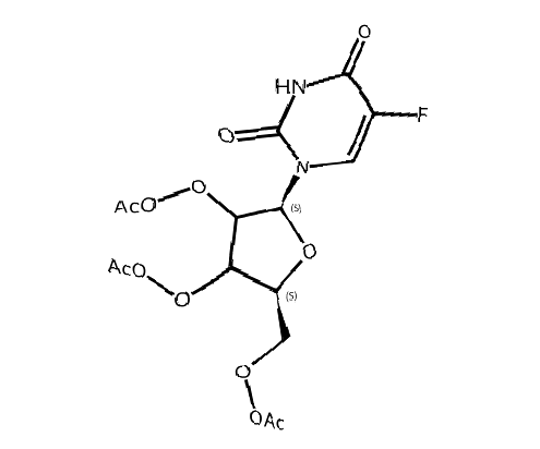 CC(=O)OOC[C@@H]1O[C@H](n2cc(F)c(=O)[nH]c2=O)C(OOC(C)=O)C1OOC(C)=O